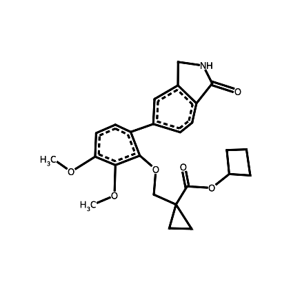 COc1ccc(-c2ccc3c(c2)CNC3=O)c(OCC2(C(=O)OC3CCC3)CC2)c1OC